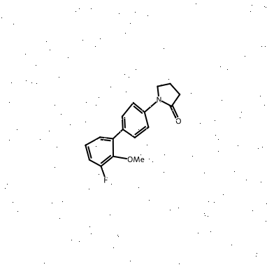 COc1c(F)cccc1-c1ccc(N2CCCC2=O)cc1